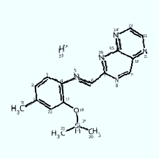 Cc1ccc(N=Cc2ncc3nccnc3n2)c(O[SiH](C)C)c1.[H+]